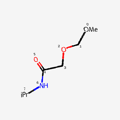 COCOCC(=O)NC(C)C